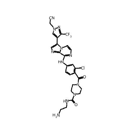 N#CCn1cc(-c2cnc3c(Nc4ccc(C(=O)N5CCN(C(=O)NCCN)CC5)c(Cl)c4)nccn23)c(C(F)(F)F)n1